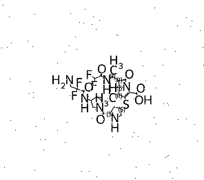 C[C@@H](NC(=O)C(F)F)[C@H]1C(=O)N2C(C(=O)O)=C(S[C@@H]3CN[C@H](C(=O)N4CCC(NC(=O)C(F)(F)CN)C4)C3)[C@H](C)[C@H]12